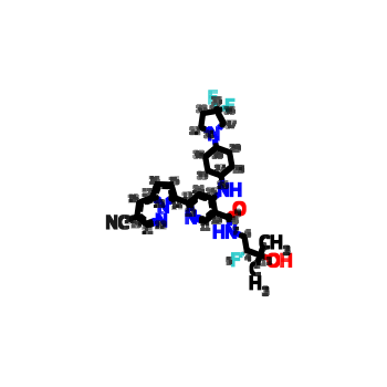 CC(C)(O)[C@H](F)CNC(=O)c1cnc(-c2ccc3cc(C#N)cnn23)cc1NC1CCC(N2CCC(F)(F)C2)CC1